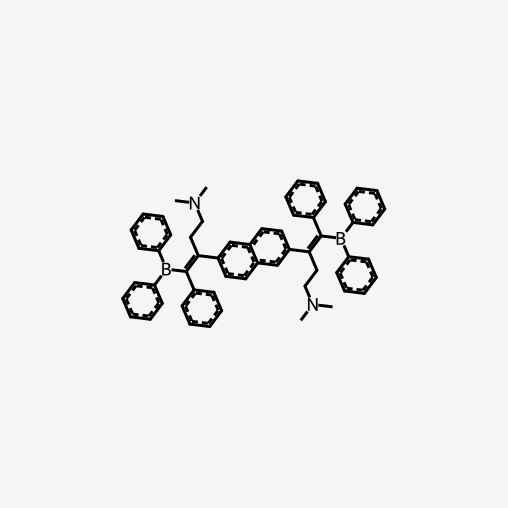 CN(C)CC/C(=C(\B(c1ccccc1)c1ccccc1)c1ccccc1)c1ccc2cc(/C(CCN(C)C)=C(/B(c3ccccc3)c3ccccc3)c3ccccc3)ccc2c1